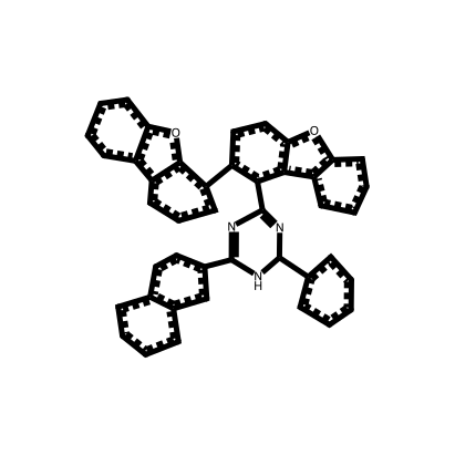 c1ccc(C2N=C(c3c(-c4cccc5c4oc4ccccc45)ccc4oc5ccccc5c34)N=C(c3ccc4ccccc4c3)N2)cc1